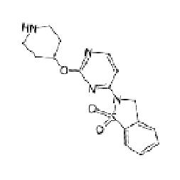 O=S1(=O)c2ccccc2CN1c1ccnc(OC2CCNCC2)n1